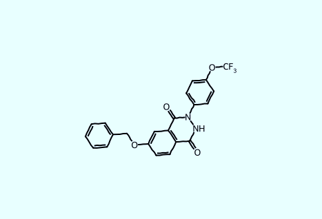 O=c1[nH]n(-c2ccc(OC(F)(F)F)cc2)c(=O)c2cc(OCc3ccccc3)ccc12